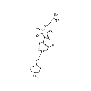 CCc1cc(-c2ccc(CCC3CCC(C)CC3)cc2F)c(CC)c(CC)c1OCCC(CC)CC